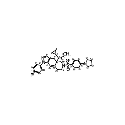 CO[C@H](C1CC1)C12Cc3cnn(-c4ccc(F)cc4)c3C=C1CCN(S(=O)(=O)c1ccc(N3CCCC3)cc1)C2